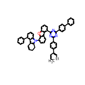 C/C=C\C(=C/CC)c1ccc(-c2nc(-c3ccc(-c4ccccc4)cc3)nc(-c3cccc4oc5c(-n6c7c(c8c(-c9ccccc9)cccc86)C=CCC7)cccc5c34)n2)cc1